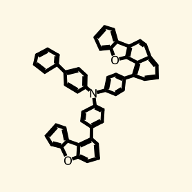 c1ccc(-c2ccc(N(c3ccc(-c4cccc5oc6ccccc6c45)cc3)c3ccc(-c4cccc5ccc6c7ccccc7oc6c45)cc3)cc2)cc1